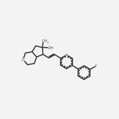 CC1(O)CC2COCCC2C1C=Cc1ccc(-c2cccc(F)c2)cn1